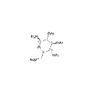 CC(=O)OCC1O[C@@H](N)C(OC(C)=O)[C@@H](OC(C)=O)[C@@H]1OC(C)=O